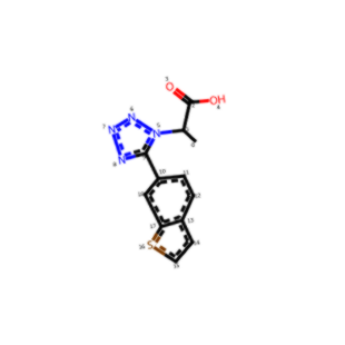 CC(C(=O)O)n1nnnc1-c1ccc2ccsc2c1